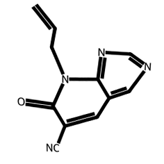 C=CCn1c(=O)c(C#N)cc2cncnc21